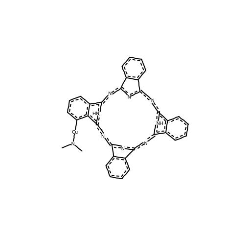 C[N](C)[Cu][c]1cccc2c3nc4nc(nc5[nH]c(nc6nc(nc([nH]3)c12)-c1ccccc1-6)c1ccccc51)-c1ccccc1-4